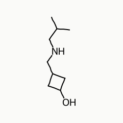 CC(C)CNCC1CC(O)C1